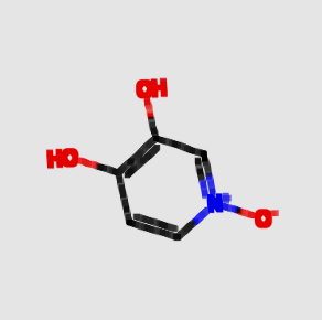 [O-][n+]1ccc(O)c(O)c1